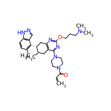 C=CC(=O)N1CCN(c2nc(OCCCN(C)C)nc3c2C[C@@H](C)[C@H](c2c(C)ccc4[nH]ncc24)C3)CC1